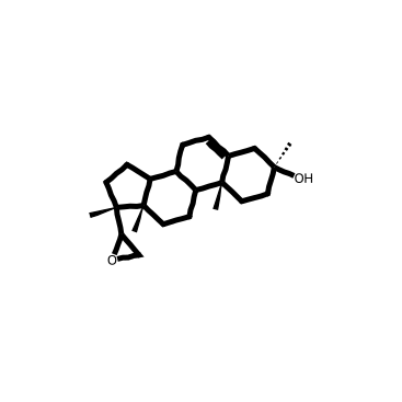 C[C@]1(O)CC[C@@]2(C)C(=CCC3C2CC[C@@]2(C)C3CC[C@@]2(C)C2CO2)C1